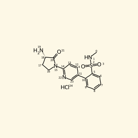 CNS(=O)(=O)c1ccccc1-c1ccc(N2CC[C@H](N)C2=O)nc1.Cl